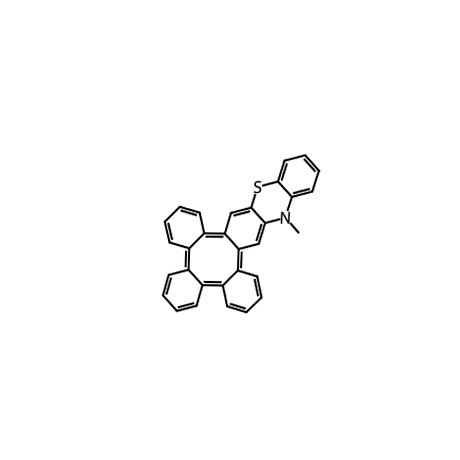 Cn1c2ccccc2sc2cc3c4ccccc4c4ccccc4c4ccccc4c3cc21